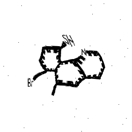 Cc1cc2cccnc2c2c(S)ccc(Br)c12